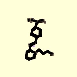 CN(C)c1ccc(/N=N/c2cccc[n+]2CCCBr)cc1